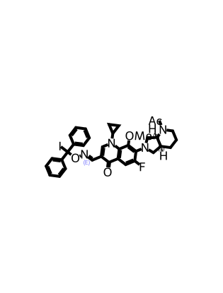 COc1c(N2C[C@@H]3CCCN(C(C)=O)[C@@H]3C2)c(F)cc2c(=O)c(/C=N/OC(I)(c3ccccc3)c3ccccc3)cn(C3CC3)c12